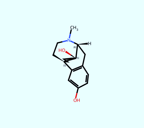 CN1CC[C@]23CCCC[C@@]2(O)[C@H]1Cc1ccc(O)cc13